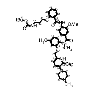 COc1cc(C(=O)N(C)c2ccc(C)cc2OCC2=CC=C(N3CCN(C)CC3)C(=C=O)N2)ccc1NC(=O)c1ccccc1OCCCNC(=O)OC(C)(C)C